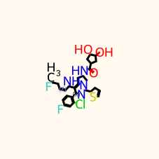 CC(F)C/C=C\C(=N)C1=C2CC(NC(=O)C3CC(O)C(O)C3)CN2C(C2CC=CS2)=N[C@H]1c1ccc(F)cc1Cl